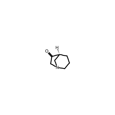 O=C1CN2CCC[C@H]1C2